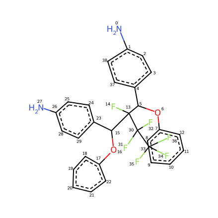 Nc1ccc(C(Oc2ccccc2)C(F)(C(Oc2ccccc2)c2ccc(N)cc2)C(F)(F)C(F)(F)F)cc1